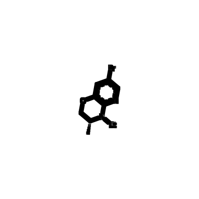 CCN1c2ncc(Br)cc2OC[C@H]1C